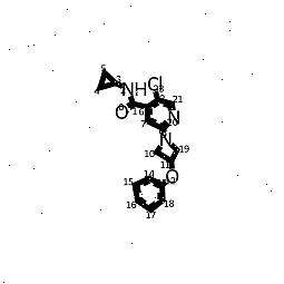 O=C(NC1CC1)c1cc(N2CC(Oc3ccccc3)C2)ncc1Cl